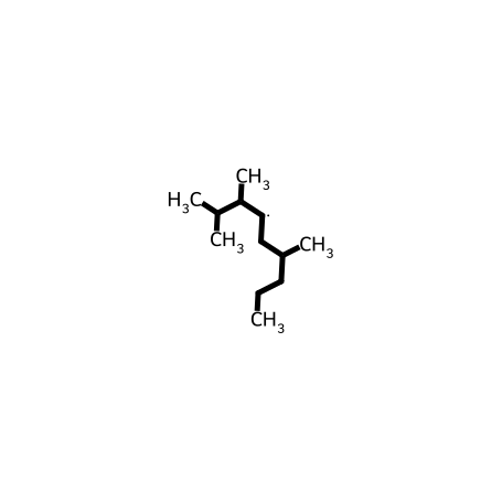 CCCC(C)C[CH]C(C)C(C)C